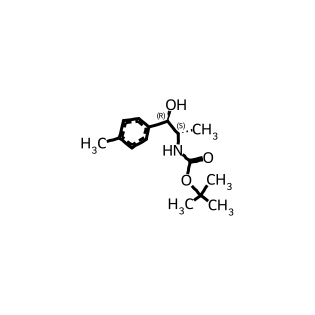 Cc1ccc([C@@H](O)[C@H](C)NC(=O)OC(C)(C)C)cc1